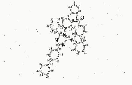 O=P1(c2ccccc2)c2ccccc2-c2c1ccc1c3ccccc3n(-c3nc(-c4ccccc4)nc(-c4ccc(-c5ccccc5)cc4)n3)c21